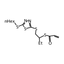 C=CC(=O)SC(CC)CSc1nnc(SCCCCCC)s1